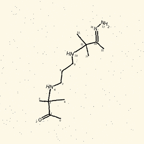 CC(=O)C(C)(C)NCCCNC(C)(C)C(C)=NN